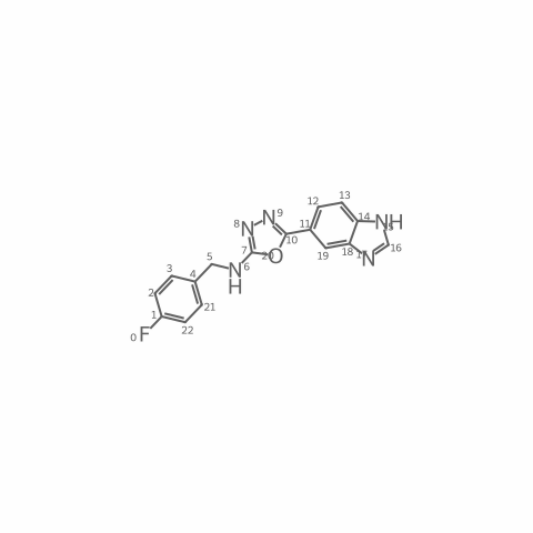 Fc1ccc(CNc2nnc(-c3ccc4[nH]cnc4c3)o2)cc1